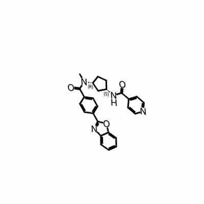 CN(C(=O)c1ccc(-c2nc3ccccc3o2)cc1)[C@@H]1CC[C@H](NC(=O)c2ccncc2)C1